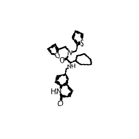 O=C([C@H](NCc1ccc2[nH]c(=O)ccc2c1)C1CCCCC1)N(Cc1ccco1)Cc1cccs1